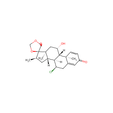 C[C@@H]1C[C@H]2[C@H]3[C@H]([C@@H](O)C[C@]2(C)[C@]12OCOC21COCO1)[C@@]1(C)C=CC(=O)C=C1C[C@H]3Cl